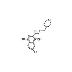 CCc1ccc2c(c1)[n+](O)c(NCCCN1CCOCC1)n[n+]2O